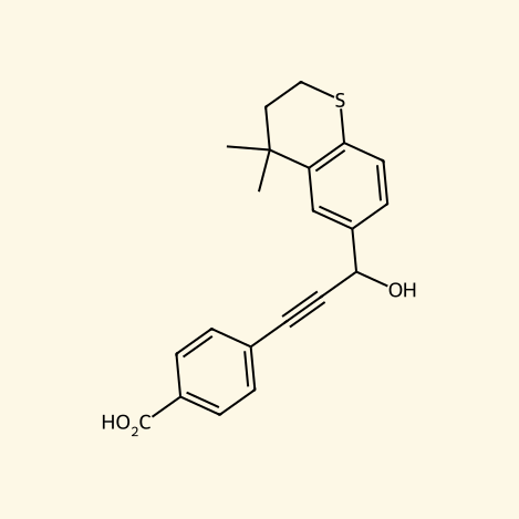 CC1(C)CCSc2ccc(C(O)C#Cc3ccc(C(=O)O)cc3)cc21